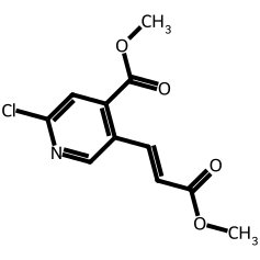 COC(=O)C=Cc1cnc(Cl)cc1C(=O)OC